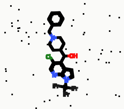 CC(C)[Si](C(C)C)(C(C)C)n1ccc2c(C(O)C3CCN(Cc4ccccc4)CC3)c(Cl)cnc21